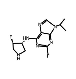 CC(C)n1cnc2c(N[C@@H]3CNC[C@H]3F)nc(F)nc21